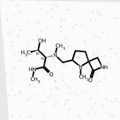 CNC(=O)[C@H]([C@@H](C)O)N(C)CC1CCC2(CNC2=O)N1C